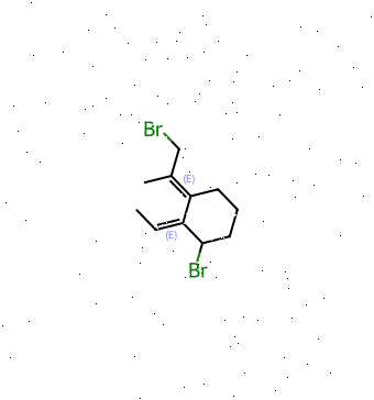 C/C=C1\C(=C(/C)CBr)CCCC1Br